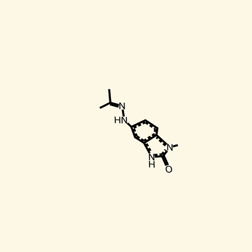 CC(C)=NNc1ccc2c(c1)[nH]c(=O)n2C